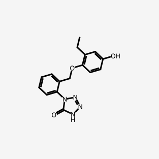 CCc1cc(O)ccc1OCc1ccccc1-n1nn[nH]c1=O